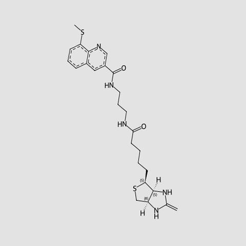 C=C1N[C@H]2[C@H](CS[C@H]2CCCCC(=O)NCCCNC(=O)c2cnc3c(SC)cccc3c2)N1